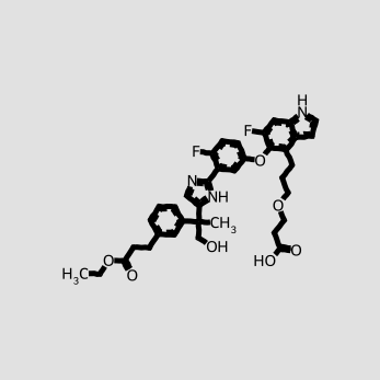 CCOC(=O)CCc1cccc(C(C)(CO)c2cnc(-c3cc(Oc4c(F)cc5[nH]ccc5c4CCCOCCC(=O)O)ccc3F)[nH]2)c1